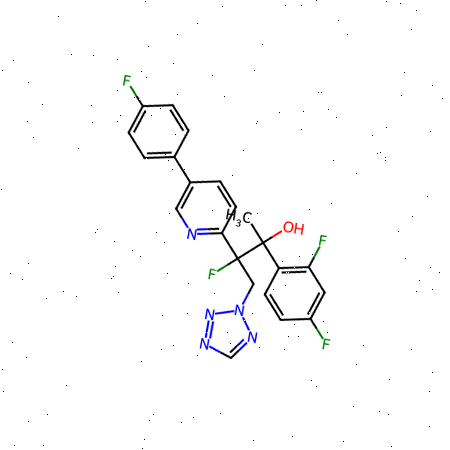 CC(O)(c1ccc(F)cc1F)C(F)(Cn1ncnn1)c1ccc(-c2ccc(F)cc2)cn1